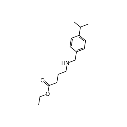 CCOC(=O)CCCNCc1ccc(C(C)C)cc1